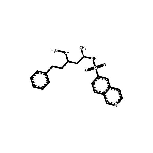 CNC(CCc1ccccc1)C[C@@H](C)NS(=O)(=O)c1ccc2cnccc2c1